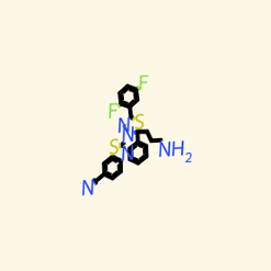 N#Cc1ccc2nc(N3N=C(c4cc(F)ccc4F)SC3(CCCN)c3ccccc3)sc2c1